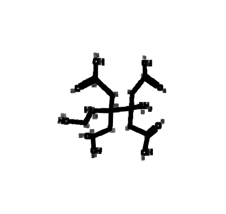 NC(CC(=O)O)(CC(=O)O)C(CC(=O)O)(CC(=O)O)NCO